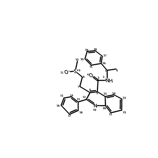 CC(NC(=O)c1c(CC[S+](C)[O-])c(-c2ccccc2)nc2ccccc12)c1ccccc1